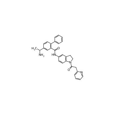 CC(N)c1ccc(-c2ccccc2)c(C(=O)Nc2ccc3c(c2)CCN3C(=O)Cc2ccccn2)c1